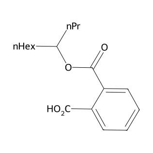 CCCCCCC(CCC)OC(=O)c1ccccc1C(=O)O